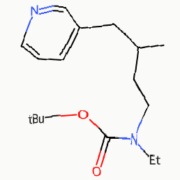 CCN(CCC(C)Cc1cccnc1)C(=O)OC(C)(C)C